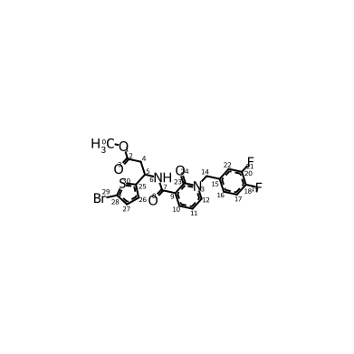 COC(=O)CC(NC(=O)c1cccn(Cc2ccc(F)c(F)c2)c1=O)c1ccc(Br)s1